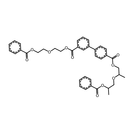 CC(COC(=O)c1ccc(-c2cccc(C(=O)OCCOCCOC(=O)c3ccccc3)c2)cc1)OCC(C)OC(=O)c1ccccc1